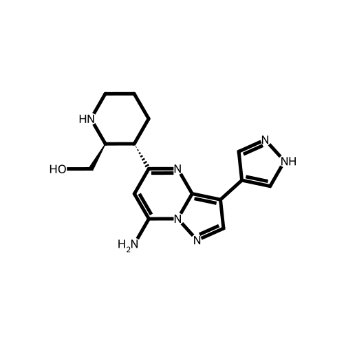 Nc1cc([C@H]2CCCN[C@@H]2CO)nc2c(-c3cn[nH]c3)cnn12